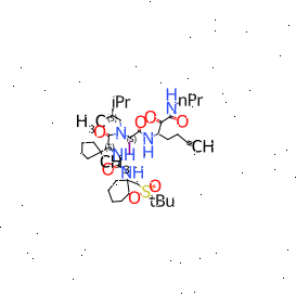 C#CCCC(NC(=O)[C@H](I)N(C[C@@H](C)C(C)C)C(=O)[C@@H](NC(=O)NC1(CS(=O)(=O)C(C)(C)C)CCCCC1)C1(C)CCCC1)C(=O)C(=O)NCCC